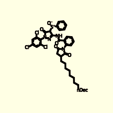 CCCCCCCCCCCCCCCCCCC1CC(=O)N(c2ccccc2C(=O)NC2=NN(c3c(Cl)cc(Cl)cc3Cl)C(=O)C2[S+]([O-])c2ccccc2)C1=O